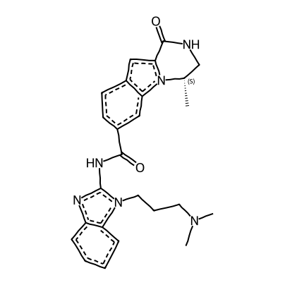 C[C@H]1CNC(=O)c2cc3ccc(C(=O)Nc4nc5ccccc5n4CCCN(C)C)cc3n21